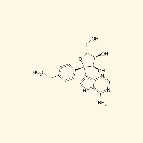 Nc1ncnc2c1ncn2[C@]1(c2ccc(CC(=O)O)cc2)O[C@H](CO)[C@@H](O)[C@H]1O